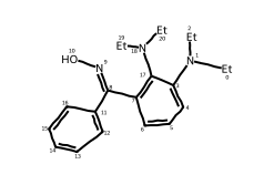 CCN(CC)c1cccc(C(=NO)c2ccccc2)c1N(CC)CC